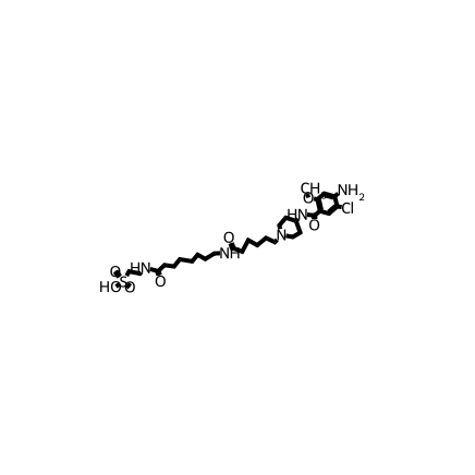 COc1cc(N)c(Cl)cc1C(=O)NC1CCN(CCCCCC(=O)NCCCCCCCC(=O)NCCS(=O)(=O)O)CC1